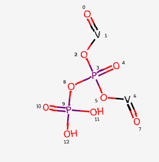 [O]=[V][O]P(=O)([O][V]=[O])OP(=O)(O)O